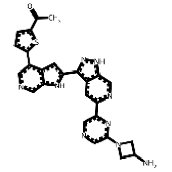 CC(=O)c1ccc(-c2cncc3[nH]c(-c4n[nH]c5cnc(-c6cncc(N7CC(N)C7)n6)cc45)cc23)s1